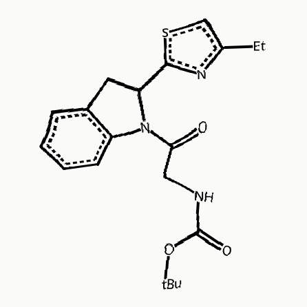 CCc1csc(C2Cc3ccccc3N2C(=O)CNC(=O)OC(C)(C)C)n1